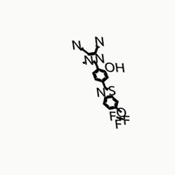 Cn1c(-c2ccc(-c3nc4ccc(OC(F)(F)F)cc4s3)cc2O)nc(C#N)c1C#N